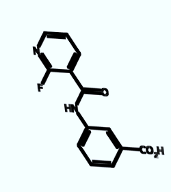 O=C(O)c1cccc(NC(=O)c2cccnc2F)c1